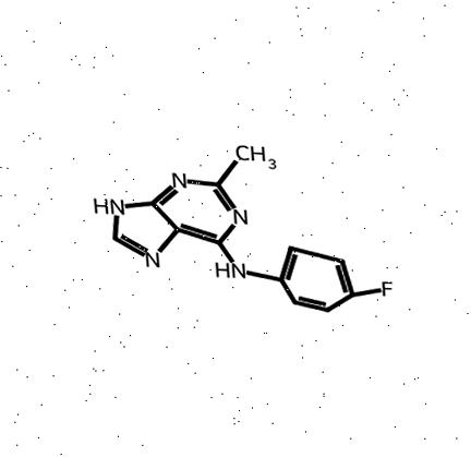 Cc1nc(Nc2ccc(F)cc2)c2nc[nH]c2n1